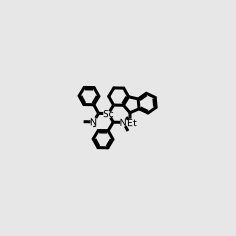 CCC1C2=C(CCC[CH]2[Sc]([CH](c2ccccc2)N(C)C)[CH](c2ccccc2)N(C)C)c2ccccc21